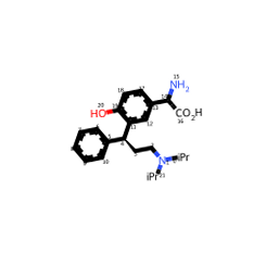 CC(C)N(CC[C@@H](c1ccccc1)c1cc(C(N)C(=O)O)ccc1O)C(C)C